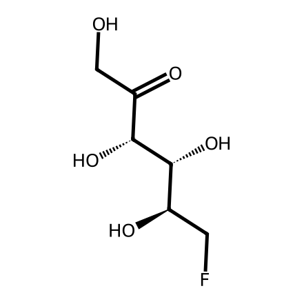 O=C(CO)[C@@H](O)[C@H](O)[C@H](O)CF